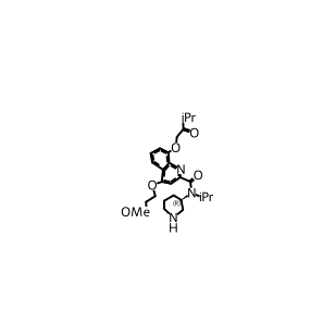 COCCOc1cc(C(=O)N(C(C)C)[C@@H]2CCCNC2)nc2c(OCC(=O)C(C)C)cccc12